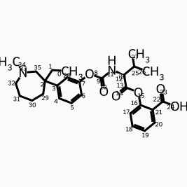 CCC1(c2cccc(OC(=O)N[C@H](C(=O)Oc3ccccc3C(=O)O)C(C)C)c2)CCCCN(C)C1